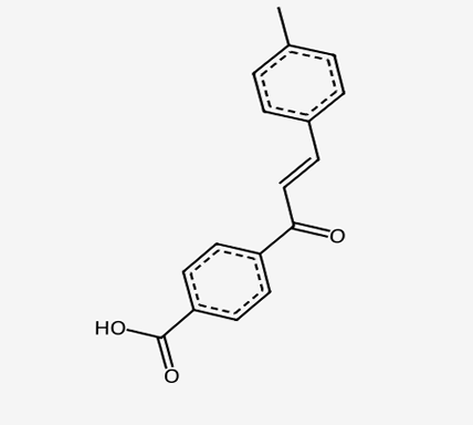 Cc1ccc(/C=C/C(=O)c2ccc(C(=O)O)cc2)cc1